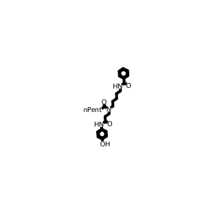 CCCCCC(=O)N(CCCCCNC(=O)c1ccccc1)CCC(=O)Nc1ccc(O)cc1